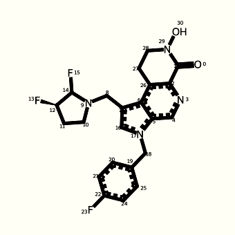 O=C1c2ncc3c(c(CN4CC[C@@H](F)C4F)cn3Cc3ccc(F)cc3)c2CCN1O